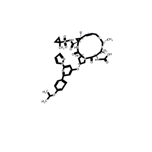 CC(C)Oc1ccc(-c2cc(O[C@@H]3C[C@H]4C(=O)N[C@]5(C(=O)NS(=O)(=O)C6(C)CC6)C[C@H]5/C=C\CC[C@H](C)C[C@@H](C)[C@H](NC(=O)O)C(=O)N4C3)cc(-n3cccn3)n2)cc1